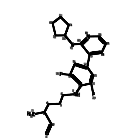 CC(C=O)CCCNc1c(F)cc(-c2cccnc2SC2CCCC2)cc1F